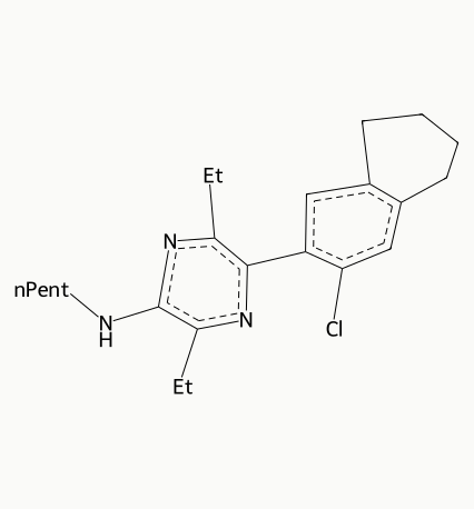 CCCCCNc1nc(CC)c(-c2cc3c(cc2Cl)CCCC3)nc1CC